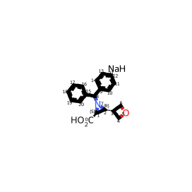 O=C(O)[C@@H]1[C@@H](C2COC2)N1C(c1ccccc1)c1ccccc1.[NaH]